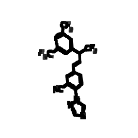 N#Cc1cc(/C=C/C(c2cc(C(F)(F)F)cc(C(F)(F)F)c2)C(F)(F)F)ccc1-n1cncn1